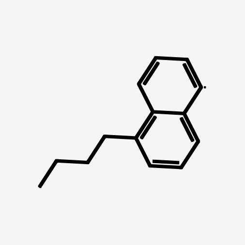 CCCCc1cccc2[c]cccc12